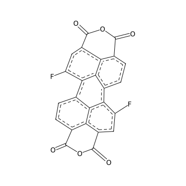 O=C1OC(=O)c2cc(F)c3c4ccc5c6c(cc(F)c(c7ccc1c2c73)c64)C(=O)OC5=O